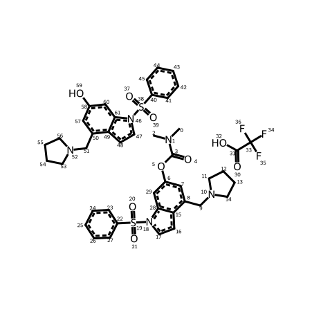 CN(C)C(=O)Oc1cc(CN2CCCC2)c2ccn(S(=O)(=O)c3ccccc3)c2c1.O=C(O)C(F)(F)F.O=S(=O)(c1ccccc1)n1ccc2c(CN3CCCC3)cc(O)cc21